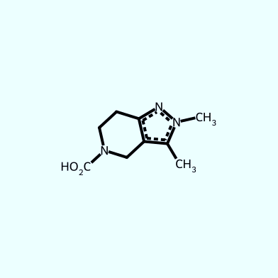 Cc1c2c(nn1C)CCN(C(=O)O)C2